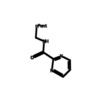 CCCCCCNC(=O)c1ncccn1